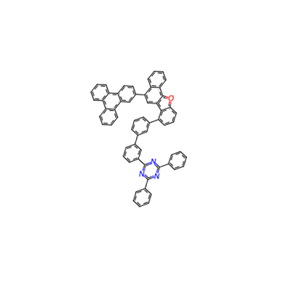 c1ccc(-c2nc(-c3ccccc3)nc(-c3cccc(-c4cccc(-c5cccc6oc7c8ccccc8c(-c8ccc9c%10ccccc%10c%10ccccc%10c9c8)cc7c56)c4)c3)n2)cc1